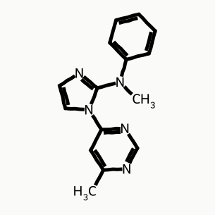 Cc1cc(-n2ccnc2N(C)c2ccccc2)ncn1